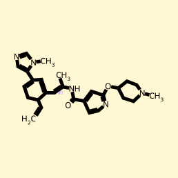 C=CC1CC=C(c2cncn2C)C=C1/C=C(\C)NC(=O)c1ccnc(OC2CCN(C)CC2)c1